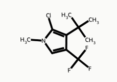 Cn1cc(C(F)(F)F)c(C(C)(C)C)c1Cl